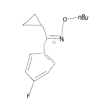 CCCCO/N=C(/c1ccc(F)cc1)C1CC1